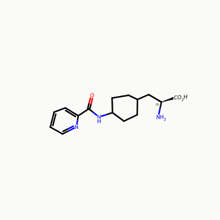 N[C@@H](CC1CCC(NC(=O)c2ccccn2)CC1)C(=O)O